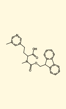 Cc1cncc(CCC(C(=O)O)N(C)C(=O)OCC2c3ccccc3-c3ccccc32)c1